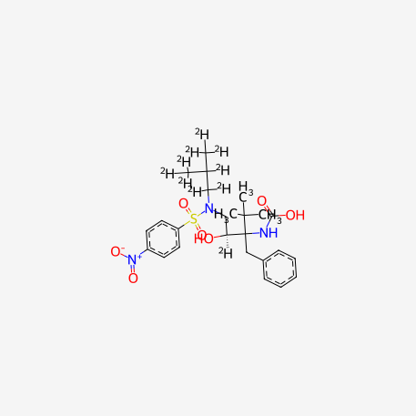 [2H]C([2H])([2H])C([2H])(C([2H])([2H])[2H])C([2H])([2H])N(C[C@]([2H])(O)C(Cc1ccccc1)(NC(=O)O)C(C)(C)C)S(=O)(=O)c1ccc([N+](=O)[O-])cc1